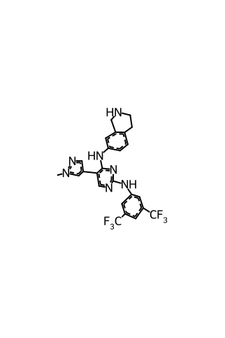 Cn1cc(-c2cnc(Nc3cc(C(F)(F)F)cc(C(F)(F)F)c3)nc2Nc2ccc3c(c2)CNCC3)cn1